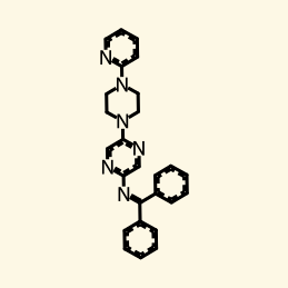 c1ccc(C(=Nc2cnc(N3CCN(c4ccccn4)CC3)cn2)c2ccccc2)cc1